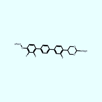 CCCCCCCC1OCC(c2ccc(-c3ccc(-c4ccc(OCCCCC)c(F)c4F)cc3)cc2F)CO1